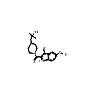 CCCCOc1ccc2[nH]c(C(=O)N3CCC(CC(C)(C)O)CC3)c(Br)c2c1